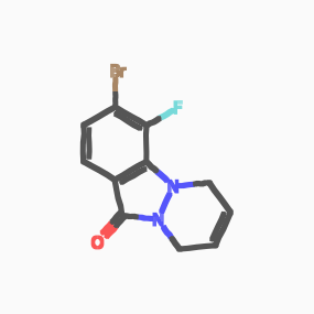 O=c1c2ccc(Br)c(F)c2n2n1CC=CC2